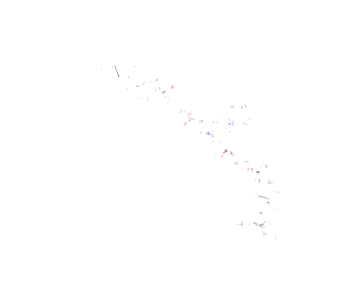 CC(C)=CCCC1=CCC(C(=O)OCCOC(=O)CCN(CCC(=O)OCCOC(=O)C2CC=C(CCC=C(C)C)CC2)CCN2CCCCC2)CC1